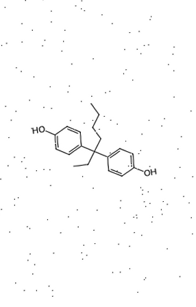 CCCCC(CC)(c1ccc(O)cc1)c1ccc(O)cc1